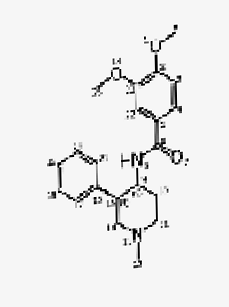 COc1ccc(C(=O)N[C@H]2CCN(C)C[C@H]2c2ccccc2)cc1OC